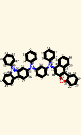 c1ccc(N(c2cccc(N(c3ccccc3)c3cc4oc5ccccc5c4c4ccccc34)c2)c2ccc3c4ccccc4n(-c4ccccc4)c3c2)cc1